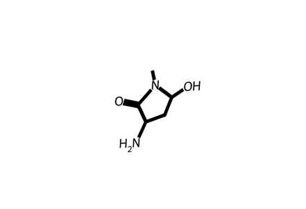 CN1C(=O)C(N)CC1O